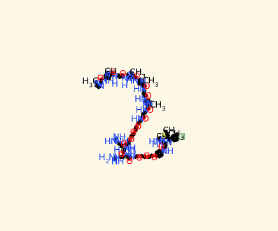 CC(=N)N1C(=N)[C@H](CC(=O)Nc2ccc(OCCOCCOCCNC(=O)[C@H](CCCNC(=N)N)NC(=O)[C@H](CCCNC(=N)N)NC(=O)CCOCCOCCOCCNC(=O)CCNC(=O)c3nc(NC(=O)CCNC(=O)c4cc(NC(=O)c5nc(NC(=O)CCNC(=O)c6cc(NC(=O)c7nccn7C)cn6C)cn5C)cn4C)cn3C)cc2)N=C(c2ccc(Cl)cc2)c2c1sc(C)c2C